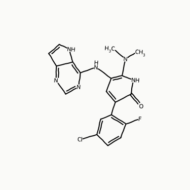 CN(C)c1[nH]c(=O)c(-c2cc(Cl)ccc2F)cc1Nc1ncnc2cc[nH]c12